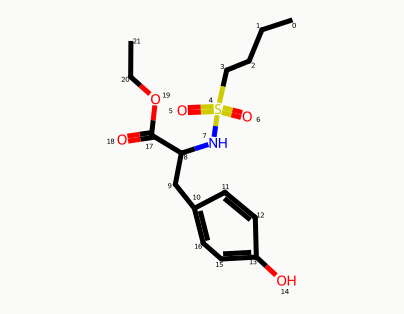 CCCCS(=O)(=O)NC(Cc1ccc(O)cc1)C(=O)OCC